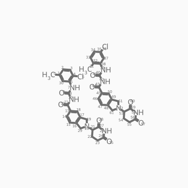 Cc1ccc(Cl)c(NC(=O)NC(=O)c2ccc3c(c2)CN(C2CCC(=O)NC2=O)C3)c1.Cc1ccc(Cl)cc1NC(=O)NC(=O)c1ccc2c(c1)CN(C1CCC(=O)NC1=O)C2